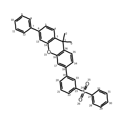 CC1(C)c2ccc(-c3ccccc3)cc2Oc2cc(-c3cccc(S(=O)(=O)c4ccccc4)c3)ccc21